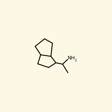 CC(N)C1CCC2CCCC21